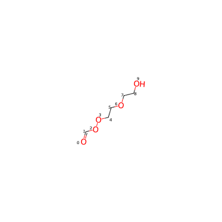 O=COOCCOCCO